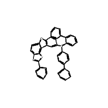 c1ccc(-c2ccc(N(c3ccc4oc5ccc6nc(-c7ccccc7)oc6c5c4c3)c3ccccc3-c3ccccc3)cc2)cc1